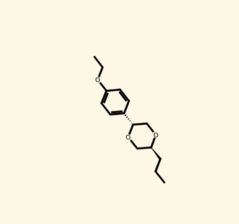 CCC[C@H]1CO[C@H](c2ccc(OCC)cc2)CO1